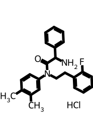 Cc1ccc(N(CCc2ccccc2F)C(=O)C(N)c2ccccc2)cc1C.Cl